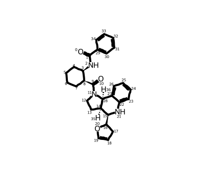 O=C(N[C@@H]1CCCC[C@@H]1C(=O)N1CC[C@@H]2[C@H](C3CC=CO3)Nc3ccccc3[C@@H]21)c1ccccc1